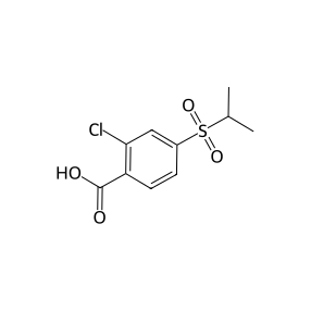 CC(C)S(=O)(=O)c1ccc(C(=O)O)c(Cl)c1